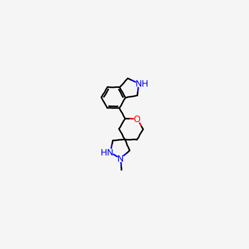 CN1CC2(CCOC(c3cccc4c3CNC4)C2)CN1